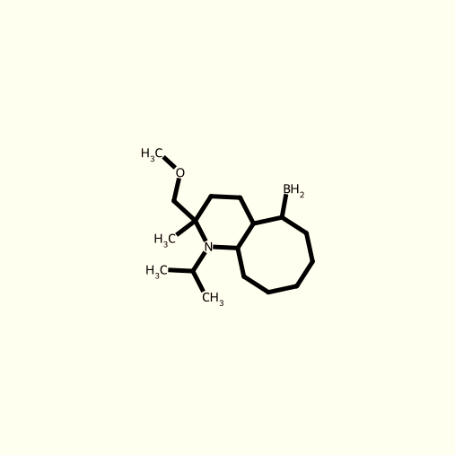 BC1CCCCCC2C1CCC(C)(COC)N2C(C)C